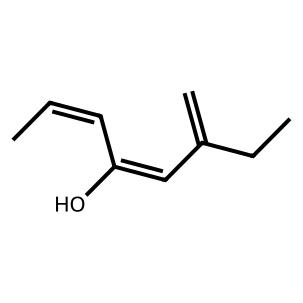 C=C(/C=C(O)\C=C/C)CC